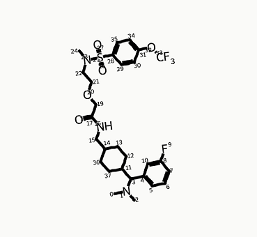 CN(C)C(c1cccc(F)c1)C1CCC(CNC(=O)COCCN(C)S(=O)(=O)c2ccc(OC(F)(F)F)cc2)CC1